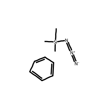 C[Si](C)(C)N=[N+]=[N-].c1ccccc1